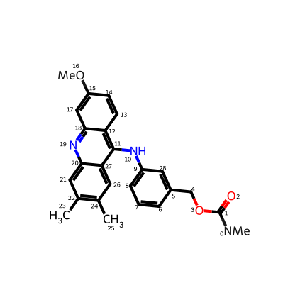 CNC(=O)OCc1cccc(Nc2c3ccc(OC)cc3nc3cc(C)c(C)cc23)c1